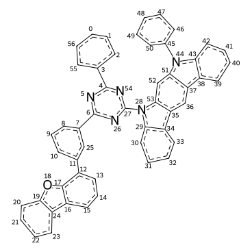 c1ccc(-c2nc(-c3cccc(-c4cccc5c4oc4ccccc45)c3)nc(-n3c4ccccc4c4cc5c6ccccc6n(-c6ccccc6)c5cc43)n2)cc1